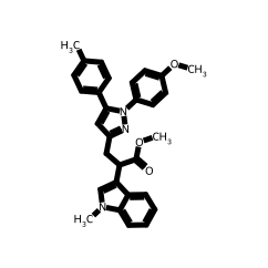 COC(=O)C(Cc1cc(-c2ccc(C)cc2)n(-c2ccc(OC)cc2)n1)c1cn(C)c2ccccc12